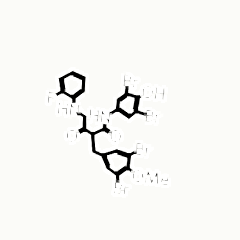 COc1c(Br)cc(CC(C(=O)CNc2ccccc2F)C(=O)Nc2cc(Br)c(O)c(Br)c2)cc1Br